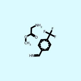 COC(=O)CN.N=Cc1ccc(C(F)(F)F)cc1